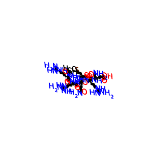 CSCC[C@H](NC(=O)[C@H](CCC(N)=O)NC(=O)[C@H](CCCNC(=N)N)NC(=O)[C@H](CCCNC(=N)N)NC(C)=O)C(=O)N[C@@H](CCCNC(=N)N)C(=O)N[C@@H](CCC(=O)O)C(N)=O